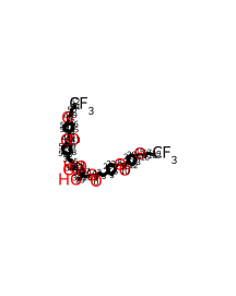 O=C(/C=C/c1ccc(OC(=O)c2ccc(OCCCC(F)(F)F)cc2)cc1)OCC(CO)(CO)COC(=O)/C=C/c1ccc(OC(=O)c2ccc(OCCCC(F)(F)F)cc2)cc1